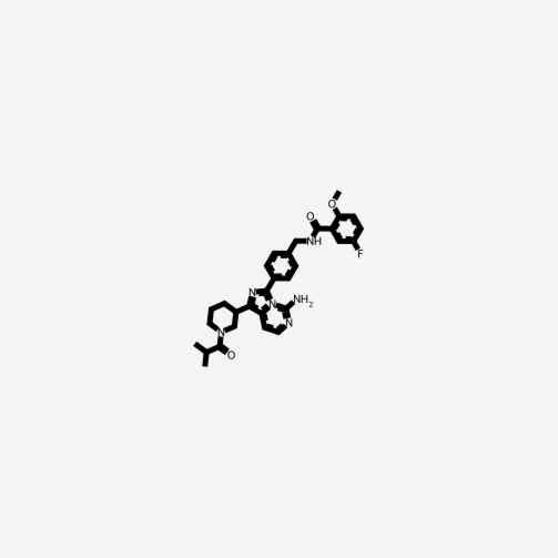 COc1ccc(F)cc1C(=O)NCc1ccc(-c2nc(C3CCCN(C(=O)C(C)C)C3)c3ccnc(N)n23)cc1